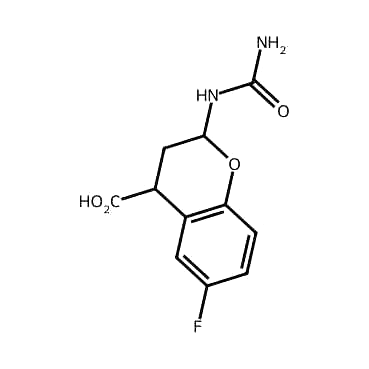 NC(=O)NC1CC(C(=O)O)c2cc(F)ccc2O1